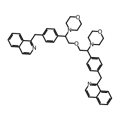 c1ccc2c(Cc3ccc(C(COCC(c4ccc(Cc5nccc6ccccc56)cc4)N4CCOCC4)N4CCOCC4)cc3)nccc2c1